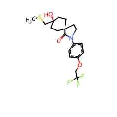 CSC[C@]1(O)CC[C@]2(CCN(c3ccc(OCC(F)(F)F)cc3)C2=O)CC1